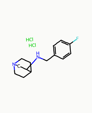 Cl.Cl.Fc1ccc(CNC2CN3CCC2CC3)cc1